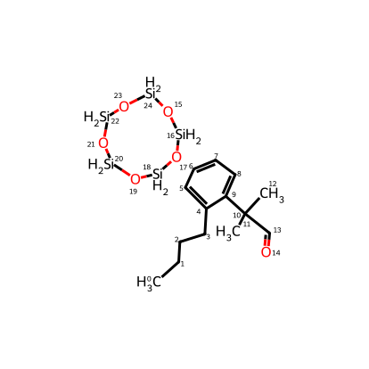 CCCCc1ccccc1C(C)(C)C=O.O1[SiH2]O[SiH2]O[SiH2]O[SiH2]O[SiH2]1